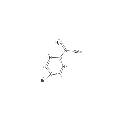 C=C(OC)c1ncc(Br)cn1